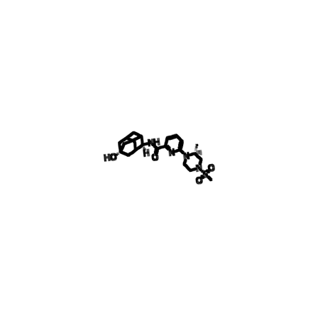 C[C@@H]1CN(S(C)(=O)=O)CCN1c1cccc(C(=O)N[C@H]2C3CC4CC2C[C@](O)(C4)C3)n1